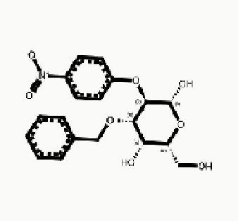 O=[N+]([O-])c1ccc(O[C@@H]2[C@@H](OCc3ccccc3)[C@@H](O)[C@@H](CO)O[C@H]2O)cc1